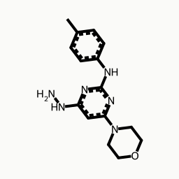 Cc1ccc(Nc2nc(NN)cc(N3CCOCC3)n2)cc1